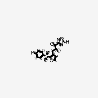 O=C(Cc1ccoc1S(=O)(=O)c1ccc(F)cc1)C(=O)c1nn[nH]n1